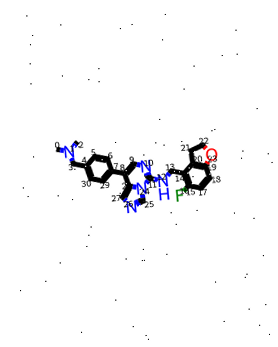 CN(C)Cc1ccc(-c2cnc(NCc3c(F)ccc4c3CCO4)n3cncc23)cc1